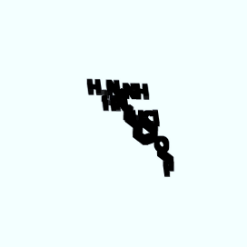 Cl.N=C(N)N/C=C/c1ccc(OCCF)cc1